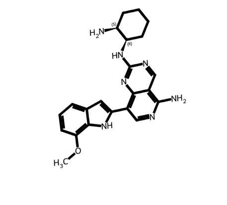 COc1cccc2cc(-c3cnc(N)c4cnc(N[C@@H]5CCCC[C@@H]5N)nc34)[nH]c12